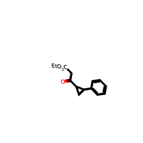 CCOC(=O)CC(=O)C1CC1c1ccccc1